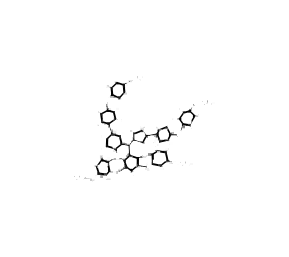 COc1ccc(Oc2ccc(C3=CC(C(c4cc(-c5ccc(Oc6ccc(OC)cc6)cc5)ccc4Oc4ccc(OC)cc4)c4cc(I)cc(C)c4Oc4ccc(OC)cc4)C=C3)cc2)cc1